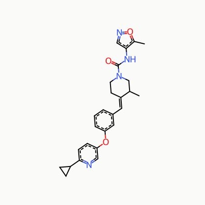 Cc1oncc1NC(=O)N1CCC(=Cc2cccc(Oc3ccc(C4CC4)nc3)c2)C(C)C1